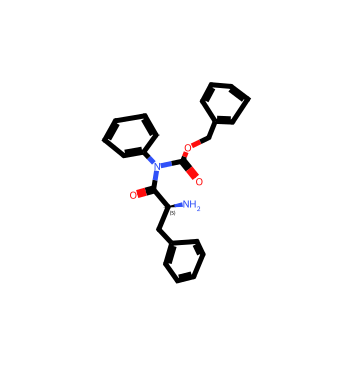 N[C@@H](Cc1ccccc1)C(=O)N(C(=O)OCc1ccccc1)c1[c]cccc1